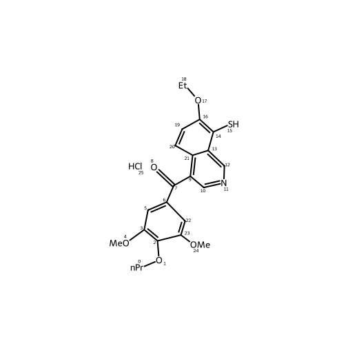 CCCOc1c(OC)cc(C(=O)c2cncc3c(S)c(OCC)ccc23)cc1OC.Cl